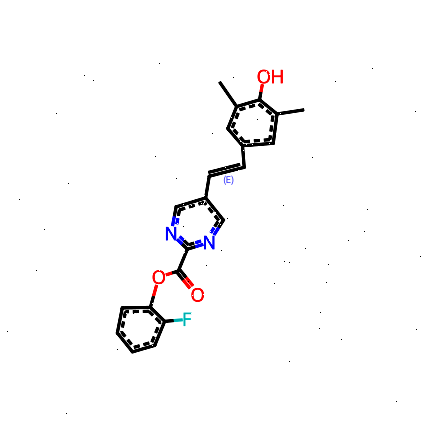 Cc1cc(/C=C/c2cnc(C(=O)Oc3ccccc3F)nc2)cc(C)c1O